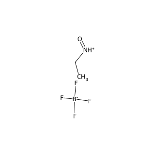 CC[NH+]=O.F[B-](F)(F)F